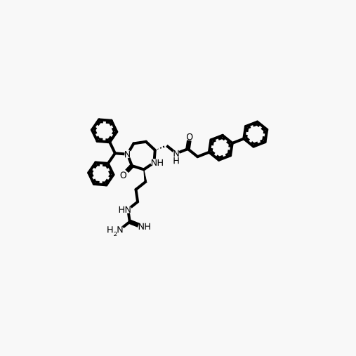 N=C(N)NCCC[C@@H]1N[C@@H](CNC(=O)Cc2ccc(-c3ccccc3)cc2)CCN(C(c2ccccc2)c2ccccc2)C1=O